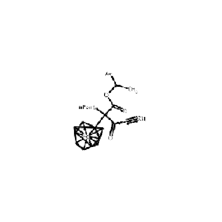 C#CC(=O)C(CCCCC)(C(=O)OC(C)C(C)=O)[C]12[CH]3[CH]4[CH]5[CH]1[Fe]45321678[CH]2[CH]1[CH]6[CH]7[CH]28